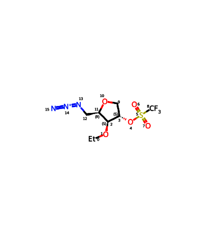 CCO[C@@H]1[C@@H](OS(=O)(=O)C(F)(F)F)CO[C@@H]1CN=[N+]=[N-]